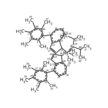 Cc1c(C)c(C)c(-c2cccc3c2C=C[CH]3[Hf]([CH3])([CH3])([CH]2C=Cc3c(-c4c(C)c(C)c(C)c(C)c4C)cccc32)=[Si](C(C)C)C(C)C)c(C)c1C